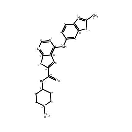 Cc1nc2ccc(Nc3ncnc4sc(C(=O)NC5CCN(C)CC5)cc34)cc2s1